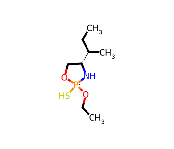 CCO[P]1(S)N[C@@H](C(C)CC)CO1